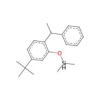 C[C](c1ccccc1)c1ccc(C(C)(C)C)cc1O[SiH](C)C